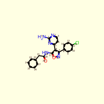 Nc1nccc(-c2c(-c3ccc(Cl)cc3)noc2NC(=O)Cc2ccccc2)n1